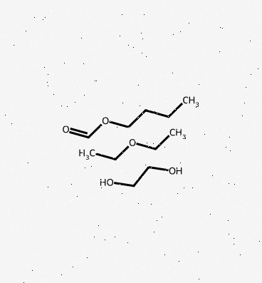 CCCCOC=O.CCOCC.OCCO